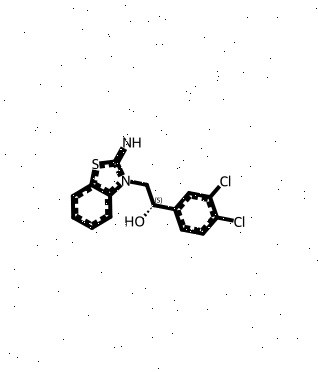 N=c1sc2ccccc2n1C[C@@H](O)c1ccc(Cl)c(Cl)c1